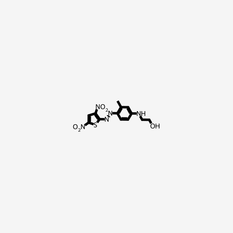 Cc1cc(NCCO)ccc1N=Nc1sc([N+](=O)[O-])cc1[N+](=O)[O-]